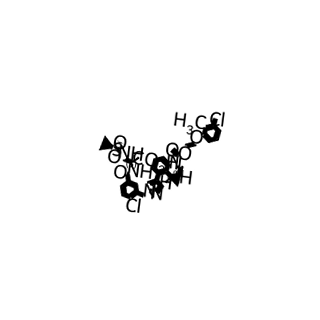 Cc1c(Cl)cccc1OCCOC(=O)N1C[C@@H]2C[C@@H]2c2c(-c3cnn(Cc4cc(C(=O)N[C@@H](CNS(=O)(=O)C5CC5)C(=O)O)ccc4Cl)c3)cccc21